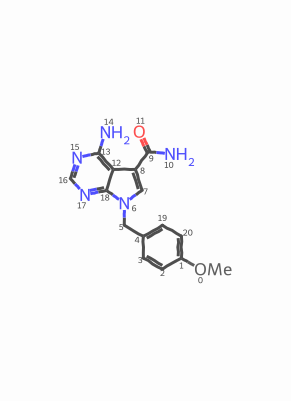 COc1ccc(Cn2cc(C(N)=O)c3c(N)ncnc32)cc1